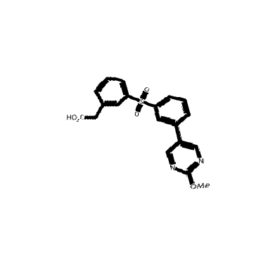 COc1ncc(-c2cccc(S(=O)(=O)c3cccc(CC(=O)O)c3)c2)cn1